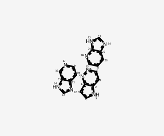 c1cc2[nH]ccc2nn1.c1cc2nc[nH]c2cn1.c1cnc2[nH]cnc2c1